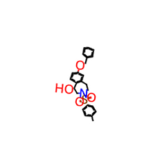 Cc1ccc(S(=O)(=O)N2CCc3cc(OCc4ccccc4)ccc3C(O)C2)cc1